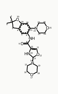 CC1(C)Cc2cc(NC(=O)C3=COC(N4CCOCC4)N3)c(N3CCOCC3)cc2O1